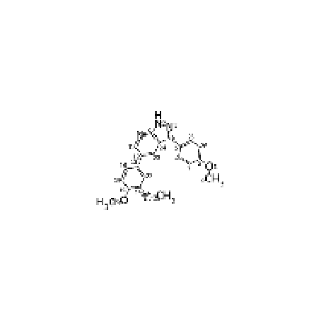 COc1ccc(-c2n[nH]c3ncc(-c4ccc(OC)c(OC)c4)cc23)cc1